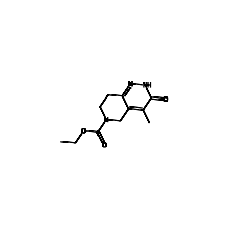 CCOC(=O)N1CCc2n[nH]c(=O)c(C)c2C1